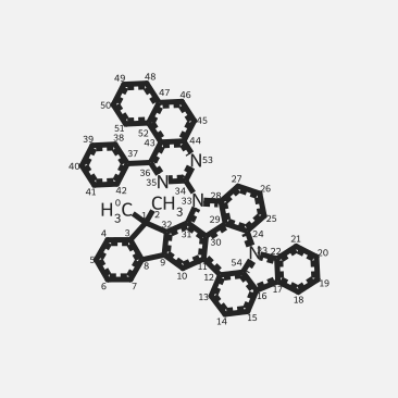 CC1(C)c2ccccc2-c2cc3c4cccc5c6ccccc6n(c6cccc7c6c3c(c21)n7-c1nc(-c2ccccc2)c2c(ccc3ccccc32)n1)c45